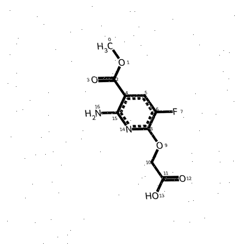 COC(=O)c1cc(F)c(OCC(=O)O)nc1N